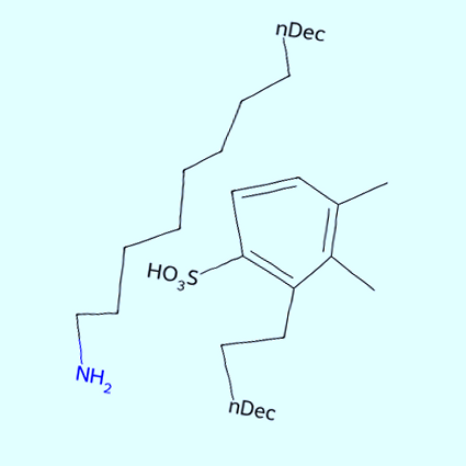 CCCCCCCCCCCCCCCCCCN.CCCCCCCCCCCCc1c(S(=O)(=O)O)ccc(C)c1C